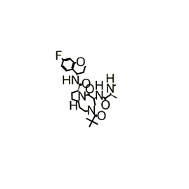 CN[C@@H](C)C(=O)N[C@H]1CN(C(=O)C(C)(C)C)CC[C@H]2CC[C@@H](C(=O)N[C@@H]3CCOc4cc(F)ccc43)N2C1=O